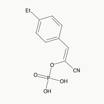 CCc1ccc(C=C(C#N)OP(=O)(O)O)cc1